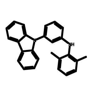 Cc1cccc(C)c1Nc1cccc(-n2c3ccccc3c3ccccc32)c1